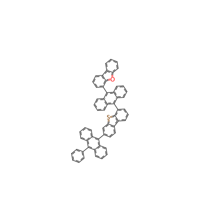 c1ccc(-c2c3ccccc3c(-c3ccc4c(c3)sc3c(-c5c6ccccc6c(-c6cccc7c6oc6ccccc67)c6ccccc56)cccc34)c3ccccc23)cc1